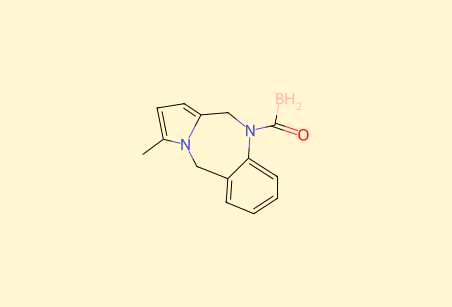 BC(=O)N1Cc2ccc(C)n2Cc2ccccc21